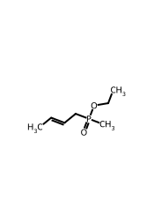 CC=CCP(C)(=O)OCC